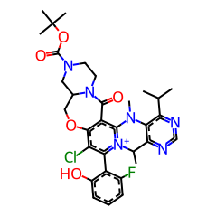 CC(C)c1ncnc2c1N(C)c1c3c(c(Cl)c(-c4c(O)cccc4F)[n+]1C2C)OCC1CN(C(=O)OC(C)(C)C)CCN1C3=O